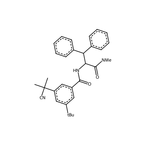 CNC(=O)C(NC(=O)c1cc(C(C)(C)C)cc(C(C)(C)C#N)c1)C(c1ccccc1)c1ccccc1